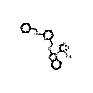 Cn1nnnc1-n1c(OCc2cccc(NCc3ccccc3)n2)nc2ccccc21